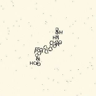 COc1nc(O[C@H]2CCc3c(-c4cccc(-c5cc6cc7c(c(C(F)(F)F)c6o5)CC[C@H]7N5CC[C@@H](C(=O)O)C5)c4Cl)cccc32)c(Cl)cc1CNC[C@H]1CCC(=O)N1